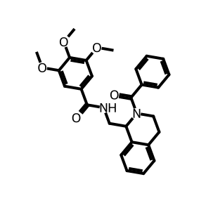 COc1cc(C(=O)NCC2c3ccccc3CCN2C(=O)c2ccccc2)cc(OC)c1OC